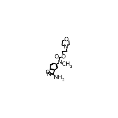 CN(C(=O)OCCN1CCOCC1)c1ccc2onc(N)c2c1